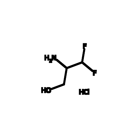 Cl.NC(CO)C(F)F